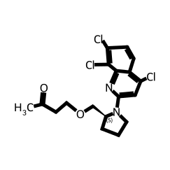 CC(=O)CCOC[C@@H]1CCCN1c1cc(Cl)c2ccc(Cl)c(Cl)c2n1